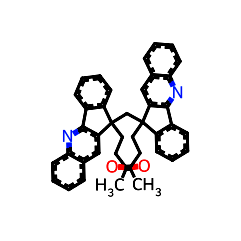 CC(=O)CCC1(CC2(CCC(C)=O)c3ccccc3-c3nc4ccccc4cc32)c2ccccc2-c2nc3ccccc3cc21